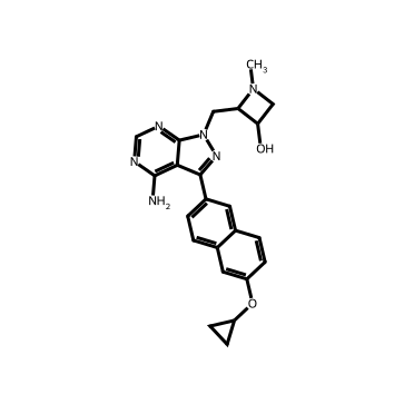 CN1CC(O)C1Cn1nc(-c2ccc3cc(OC4CC4)ccc3c2)c2c(N)ncnc21